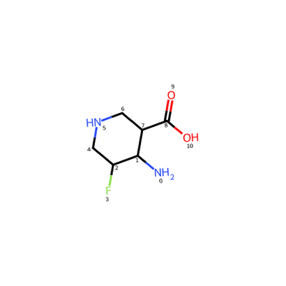 NC1C(F)CNCC1C(=O)O